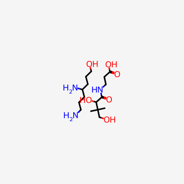 CC(C)(CO)C(O)C(=O)NCCC(=O)O.NCCCC(N)CCCO